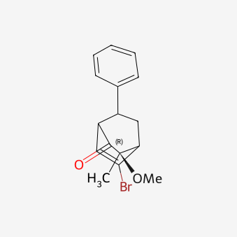 CO[C@@]1(C)C(=O)C2C=C(Br)C1CC2c1ccccc1